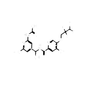 CC(=O)Nc1cc(C(C)NC(=O)c2cc(C)c(OCC(F)(F)C(F)F)cn2)cc(C)n1